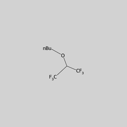 [CH2]CCCOC(C(F)(F)F)C(F)(F)F